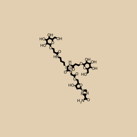 NC(=O)c1ncn(C2C[C@H](O)C(COC(=O)CNC(=O)[C@H](CCCCNC(=O)CCOC3OC(CO)C(O)C(O)C3O)NC(=O)CCOC3OC(CO)C(O)C(O)C3O)O2)n1